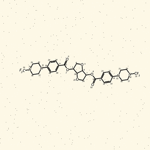 O=C(OC1COC2C(OC(=O)c3ccc(N4CCN(C(F)(F)F)CC4)cc3)COC12)c1ccc(N2CCN(C(F)(F)F)CC2)cc1